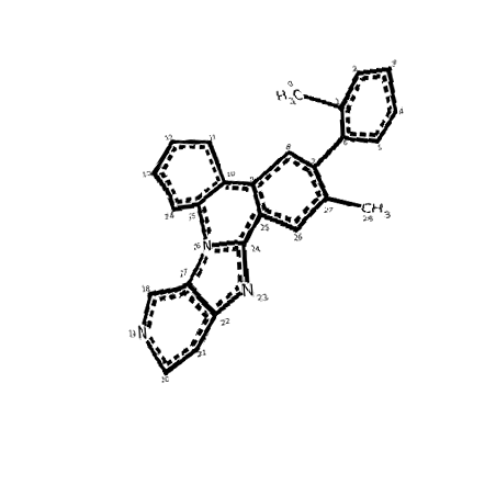 Cc1ccccc1-c1cc2c3ccccc3n3c4cnccc4nc3c2cc1C